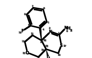 NC1=N[C@@]2(c3ccccc3F)CCOC[C@@H]2CS1